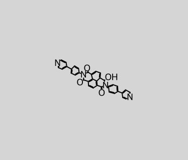 O=C1c2ccc3c4c(ccc(c24)C(=O)N1c1ccc(-c2ccncc2)cc1)C(O)N(c1ccc(-c2ccncc2)cc1)C3=O